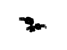 CC1(C)C(=O)N(C2C3CC4CC2CC(O)(C4)C3)N1c1ccc(N)cc1